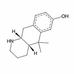 CC1(C)c2cc(O)ccc2C[C@H]2NCCC[C@H]21